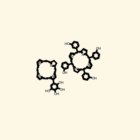 Oc1cc(-c2cc3cc4nc(cc5ccc(cc6nc(cc2[nH]3)C=C6)[nH]5)CC4)c(O)c(O)c1O.Oc1cccc(-c2c3nc(c(-c4cccc(O)c4)c4ccc([nH]4)c(-c4cccc(O)c4)c4nc(c(-c5cccc(O)c5)c5ccc2[nH]5)CC4)C=C3)c1